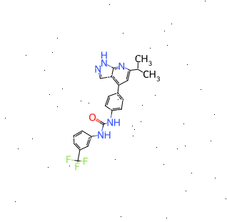 CC(C)c1cc(-c2ccc(NC(=O)Nc3cccc(C(F)(F)F)c3)cc2)c2cn[nH]c2n1